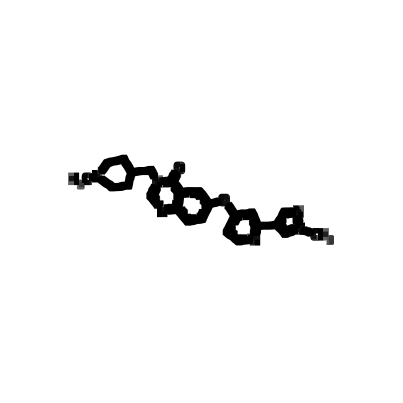 CN1CCC(Cn2cnc3ccc(Oc4ccnc(-c5cnn(C)c5)c4)cc3c2=O)CC1